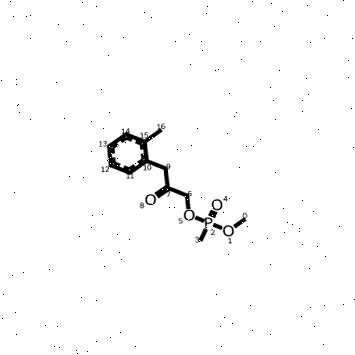 COP(C)(=O)OCC(=O)Cc1ccccc1C